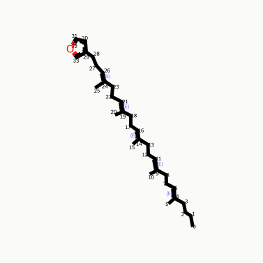 CCCC/C(C)=C/CC/C(C)=C/CC/C(C)=C/CC/C(C)=C/CC/C(C)=C/CCc1ccoc1